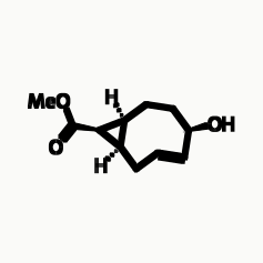 COC(=O)[C@@H]1[C@@H]2C/C=C/[C@H](O)CC[C@@H]21